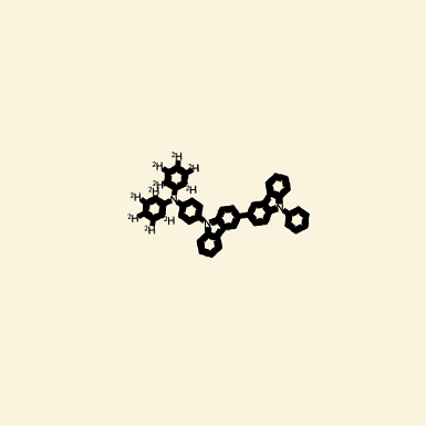 [2H]c1c([2H])c([2H])c(N(c2ccc(-n3c4ccccc4c4cc(-c5ccc6c(c5)c5ccccc5n6-c5ccccc5)ccc43)cc2)c2c([2H])c([2H])c([2H])c([2H])c2[2H])c([2H])c1[2H]